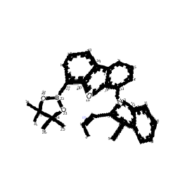 C/C=C\c1c(C)c2ccccc2n1-c1cccc2c1oc1c(B3OC(C)(C)C(C)(C)O3)cccc12